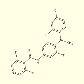 CN(c1ccc(NC(=O)c2c(F)cncc2F)cc1F)c1ccc(F)cc1C(F)(F)F